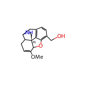 COC1=CCC2C3Cc4ccc(CO)c5c4[C@]2(CCN3)C1O5